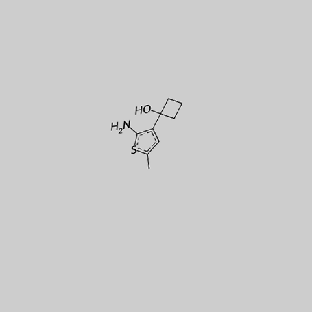 Cc1cc(C2(O)CCC2)c(N)s1